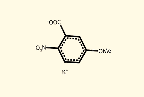 COc1ccc([N+](=O)[O-])c(C(=O)[O-])c1.[K+]